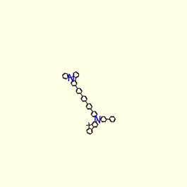 CC1(C)c2ccccc2-c2ccc(N(c3ccc(-c4ccccc4)cc3)c3ccc(-c4ccc(-c5ccc(-c6ccc(-c7ccc8c(c7)c7ccccc7n8-c7ccccc7)cc6)cc5)cc4)cc3)cc21